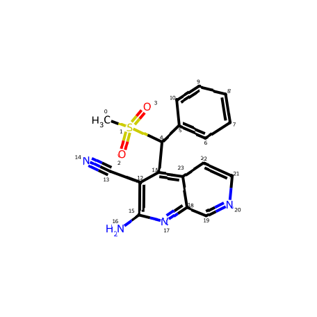 CS(=O)(=O)C(c1ccccc1)c1c(C#N)c(N)nc2cnccc12